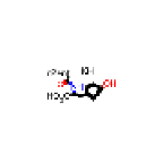 CCCCCC(=O)NC(Cc1ccc(O)cc1)C(=O)O.[KH]